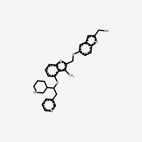 Cc1c(COc2ccc3oc(CO)cc3c2)oc2cccc(OC(Cc3cccnc3)C3CCCNC3)c12